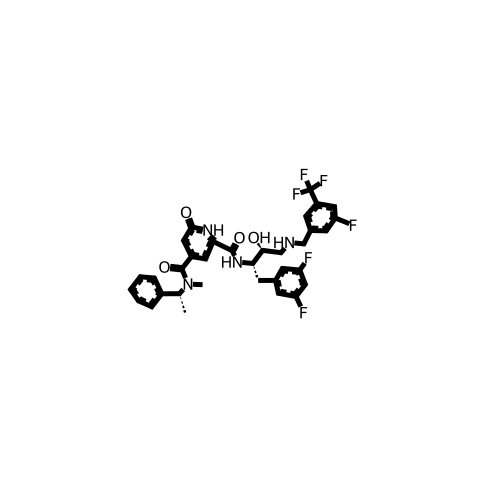 C[C@H](c1ccccc1)N(C)C(=O)c1cc(C(=O)N[C@@H](Cc2cc(F)cc(F)c2)[C@H](O)CNCc2cc(F)cc(C(F)(F)F)c2)[nH]c(=O)c1